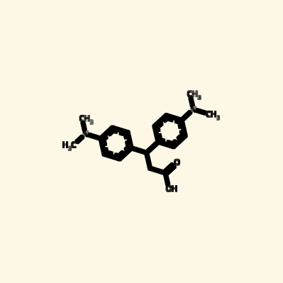 CN(C)c1ccc(C(CC(=O)O)c2ccc(N(C)C)cc2)cc1